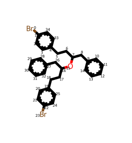 Brc1ccc(CCC(Cc2ccccc2)OC(CCc2ccc(Br)cc2)Cc2ccccc2)cc1